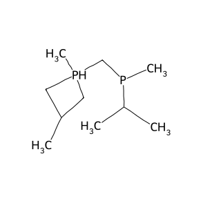 CC1C[PH](C)(CP(C)C(C)C)C1